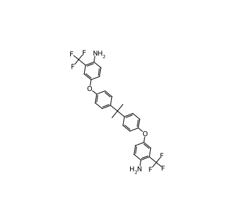 CC(C)(c1ccc(Oc2ccc(N)c(C(F)(F)F)c2)cc1)c1ccc(Oc2ccc(N)c(C(F)(F)F)c2)cc1